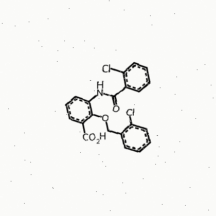 O=C(Nc1cccc(C(=O)O)c1OCc1ccccc1Cl)c1ccccc1Cl